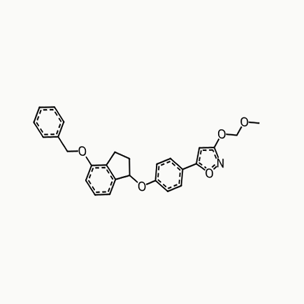 COCOc1cc(-c2ccc(OC3CCc4c(OCc5ccccc5)cccc43)cc2)on1